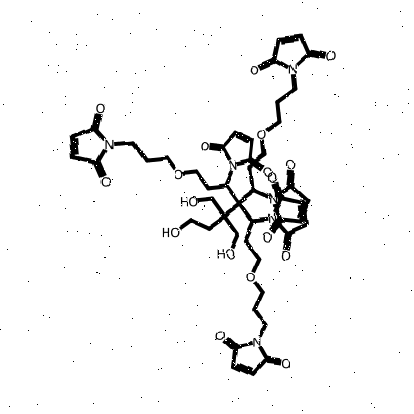 O=C1C=CC(=O)N1CCCOCCC(N1C(=O)C=CC1=O)C(C(CCOCCCN1C(=O)C=CC1=O)N1C(=O)C=CC1=O)(C(CCOCCCN1C(=O)C=CC1=O)N1C(=O)C=CC1=O)C(CO)(CO)CCO